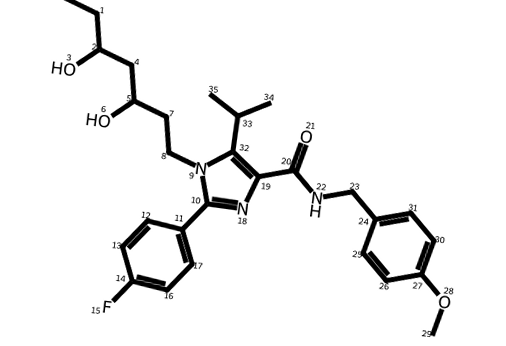 [CH2]CC(O)CC(O)CCn1c(-c2ccc(F)cc2)nc(C(=O)NCc2ccc(OC)cc2)c1C(C)C